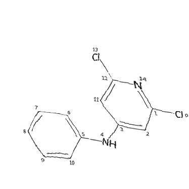 Clc1cc(Nc2ccccc2)cc(Cl)n1